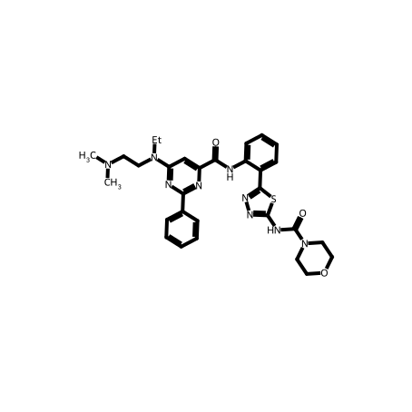 CCN(CCN(C)C)c1cc(C(=O)Nc2ccccc2-c2nnc(NC(=O)N3CCOCC3)s2)nc(-c2ccccc2)n1